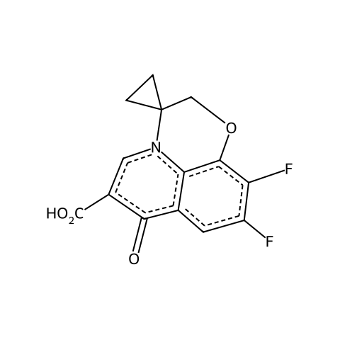 O=C(O)c1cn2c3c(c(F)c(F)cc3c1=O)OCC21CC1